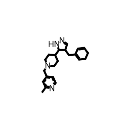 Cc1cc(CN2CCC(C3NN=CC3CC3=CCCC=C3)CC2)ccn1